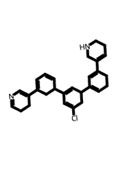 ClC1=CC(C2C=CC=C(C3=CN=CCC3)C2)=CC(C2=CCCC(C3=CCCNC3)=C2)C1